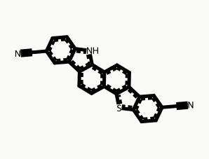 N#Cc1ccc2[nH]c3c(ccc4c3ccc3c5cc(C#N)ccc5sc34)c2c1